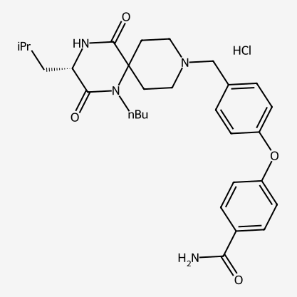 CCCCN1C(=O)[C@H](CC(C)C)NC(=O)C12CCN(Cc1ccc(Oc3ccc(C(N)=O)cc3)cc1)CC2.Cl